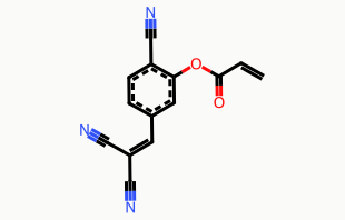 C=CC(=O)Oc1cc(C=C(C#N)C#N)ccc1C#N